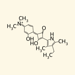 CCc1c(C)[nH]c(C2=C(O)/C(=C3/C=CC(=[N+](C)C)C=C3O)C2=O)c1C